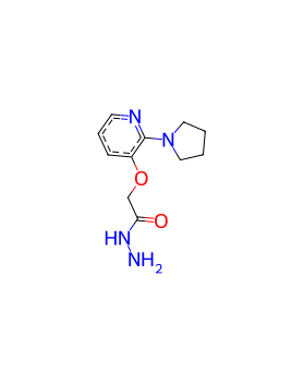 NNC(=O)COc1cccnc1N1CCCC1